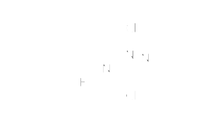 Fc1ccccc1-c1cc(Cl)n2ncc(Cl)c2n1